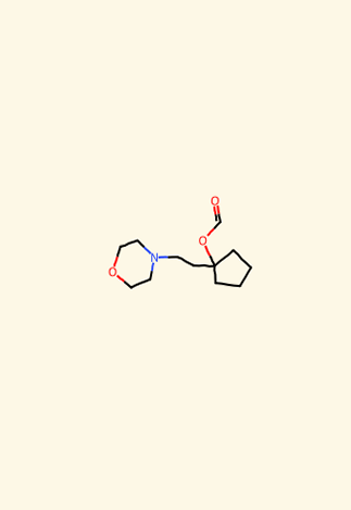 O=COC1(CCN2CCOCC2)CCCC1